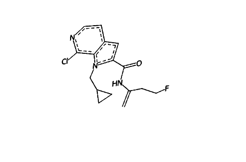 C=C(CCF)NC(=O)c1cc2ccnc(Cl)c2n1CC1CC1